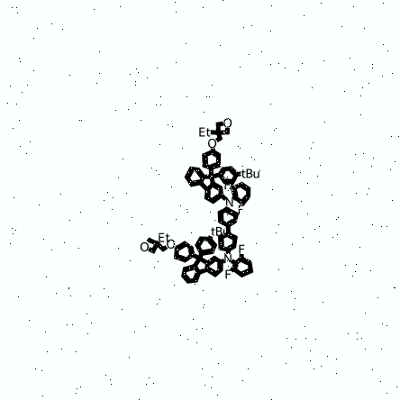 CCC1(COc2ccc(C3(c4ccc(C(C)(C)C)cc4)c4ccccc4-c4ccc(N(c5ccc(-c6ccc(N(c7ccc8c(c7)C(c7ccc(OCC9(CC)COC9)cc7)(c7ccc(C(C)(C)C)cc7)c7ccccc7-8)c7c(F)cccc7F)cc6)cc5)c5c(F)cccc5F)cc43)cc2)COC1